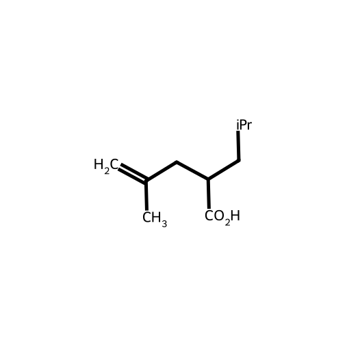 C=C(C)CC(CC(C)C)C(=O)O